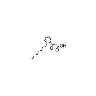 CCCCCCCCc1ccccc1C(=O)CC(=O)O